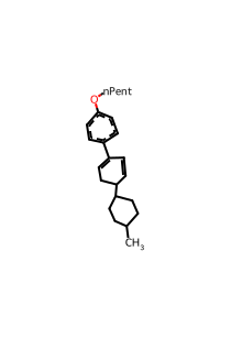 CCCCCOc1ccc(C2=CCC(C3CCC(C)CC3)C=C2)cc1